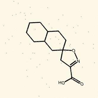 O=C(O)C1=NOC2(CCC3CCCCC3C2)C1